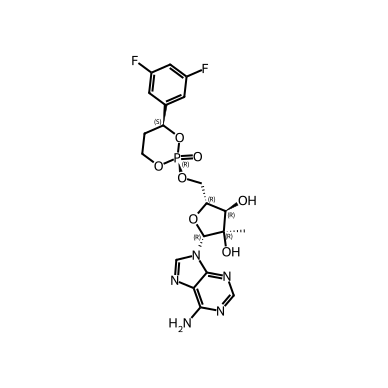 C[C@@]1(O)[C@H](O)[C@@H](CO[P@@]2(=O)OCC[C@@H](c3cc(F)cc(F)c3)O2)O[C@H]1n1cnc2c(N)ncnc21